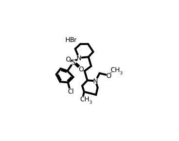 Br.COCN1CCC(C)CC1CCC1CCCCN1S(=O)(=O)c1cccc(Cl)c1